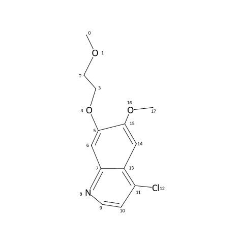 COCCOc1cc2nccc(Cl)c2cc1OC